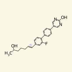 CC(O)CCC/C=C/c1ccc(-c2ccc(-c3cnc(O)nc3)cc2)c(F)c1